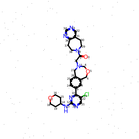 O=C(CN1COCc2cc(-c3nc(NC4CCOCC4)ncc3Cl)ccc2C1)N1CCc2cncnc2CC1